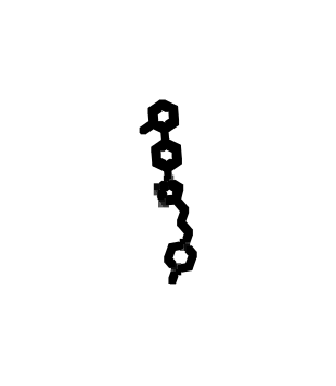 Cc1ccccc1-c1ccc(-n2cc(CCCN3CCN(C)CC3)nn2)cc1